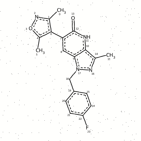 Cc1noc(C)c1-c1cc2c([nH]c1=O)c(C)nn2Cc1ccc(F)cc1